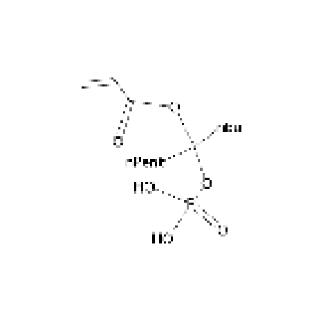 C=CC(=O)OC(CCCC)(CCCCC)OP(=O)(O)O